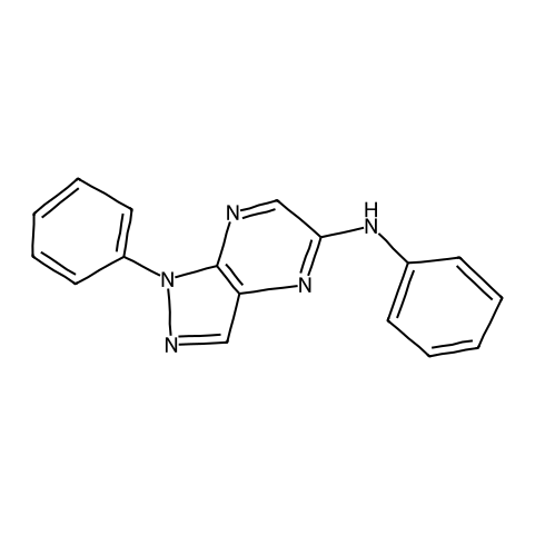 c1ccc(Nc2cnc3c(cnn3-c3ccccc3)n2)cc1